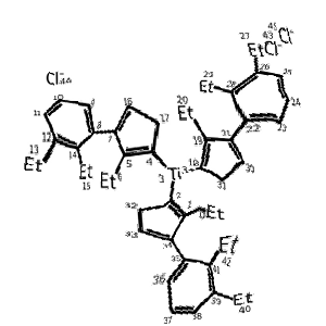 CCC1=[C]([Ti+3]([C]2=C(CC)C(c3cccc(CC)c3CC)=CC2)[C]2=C(CC)C(c3cccc(CC)c3CC)=CC2)CC=C1c1cccc(CC)c1CC.[Cl-].[Cl-].[Cl-]